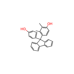 Cc1c(O)ccc(C2(c3ccc(O)cc3)c3ccccc3-c3ccccc32)c1C